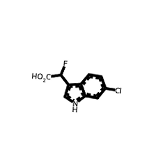 O=C(O)C(F)c1c[nH]c2cc(Cl)ccc12